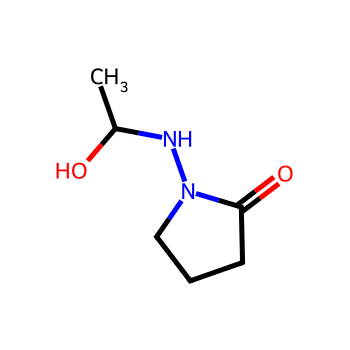 CC(O)NN1CCCC1=O